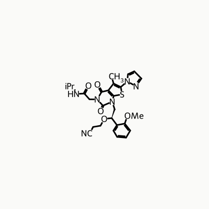 COc1ccccc1[C@H](Cn1c(=O)n(CC(=O)NC(C)C)c(=O)c2c(C)c(-n3cccn3)sc21)OCCC#N